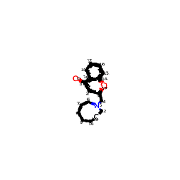 O=c1cc(CN2CCCCCCC2)oc2ccccc12